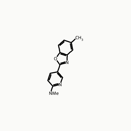 CNc1ccc(-c2nc3cc(C)ccc3o2)cn1